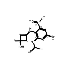 CC1(O)CC(Nc2c(OC(F)F)cc(Br)cc2[N+](=O)[O-])C1